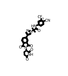 CC(C)(C(=O)Nc1ccc(C#N)c(C(F)(F)F)c1)n1cc(-c2ccc3c(c2)C(=O)N(C2CCC(=O)NC2=O)C3=O)cn1